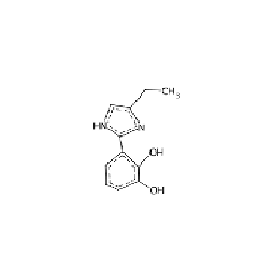 CCc1c[nH]c(-c2cccc(O)c2O)n1